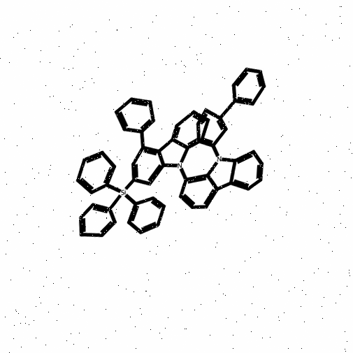 c1ccc(-c2cccc(-n3c4ccccc4c4cccc(-n5c6ccccc6c6c(-c7ccccc7)cc([Si](c7ccccc7)(c7ccccc7)c7ccccc7)cc65)c43)c2)cc1